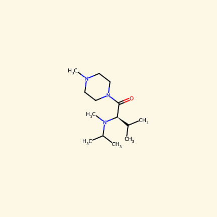 CC(C)[C@H](C(=O)N1CCN(C)CC1)N(C)C(C)C